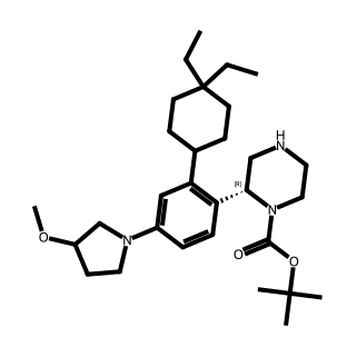 CCC1(CC)CCC(c2cc(N3CCC(OC)C3)ccc2[C@@H]2CNCCN2C(=O)OC(C)(C)C)CC1